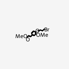 COC(=O)C=Cc1ccc(OCCCCBr)c(OC)c1